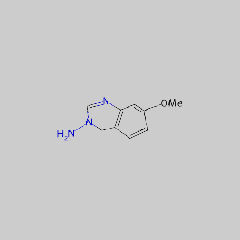 COc1ccc2c(c1)N=CN(N)C2